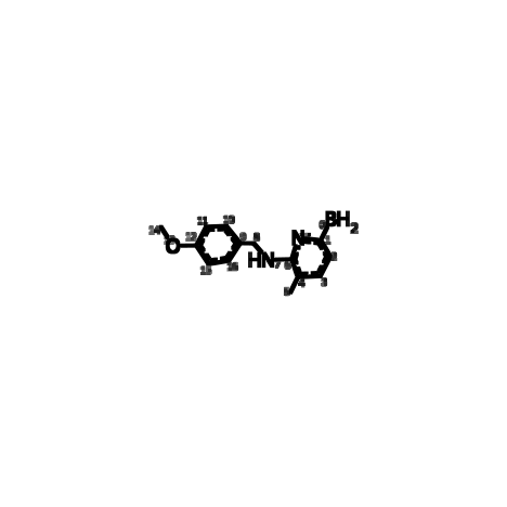 Bc1ccc(C)c(NCc2ccc(OC)cc2)n1